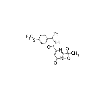 CC(C)C(NC(=O)c1cc(=O)[nH]c(S(C)(=O)=O)n1)c1ccc(SC(F)(F)F)cc1